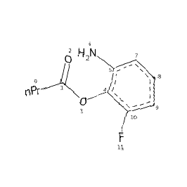 CCCC(=O)Oc1c(N)cccc1F